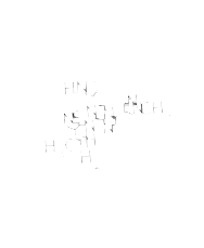 C=C(C)c1cnsc1Nc1nc(C2=CCCNC2)cn2c(-c3cnn(C)c3)cnc12